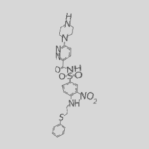 O=C(NS(=O)(=O)c1ccc(NCCSc2ccccc2)c([N+](=O)[O-])c1)c1ccc(N2CCNCC2)nn1